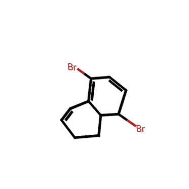 BrC1=C2C=CCCC2C(Br)C=C1